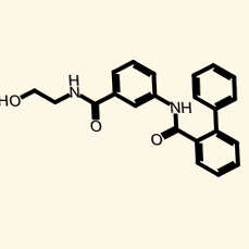 O=C(NCCO)c1cccc(NC(=O)c2ccccc2-c2ccccc2)c1